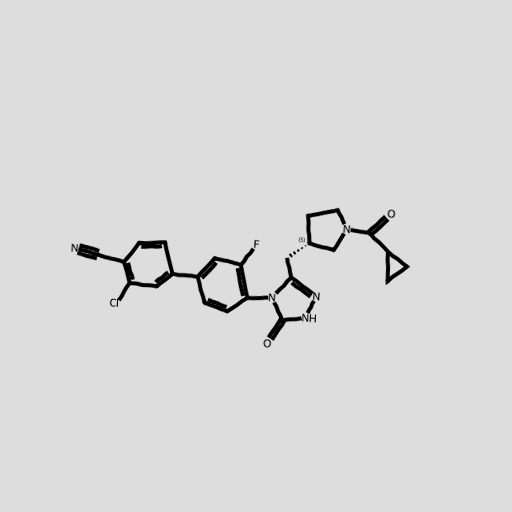 N#Cc1ccc(-c2ccc(-n3c(C[C@@H]4CCN(C(=O)C5CC5)C4)n[nH]c3=O)c(F)c2)cc1Cl